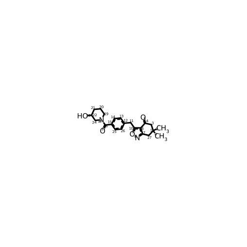 CC1(C)CC(=O)c2c(noc2Cc2ccc(C(=O)N3CCCC(O)C3)cc2)C1